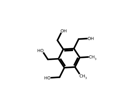 Cc1c(C)c(CO)c(CO)c(CO)c1CO